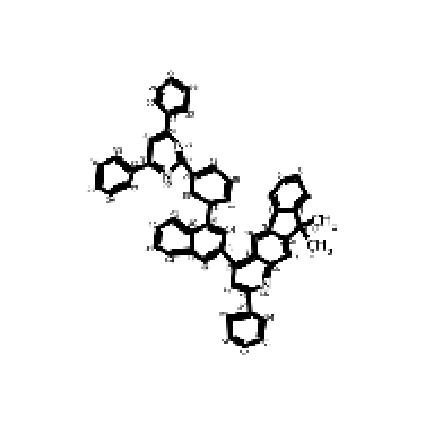 CC1(C)c2ccccc2-c2cc3c(-c4cc(C5C=CC=C(c6nc(-c7ccccc7)cc(-c7ccccc7)n6)C5)c5ccccc5c4)cc(-c4ccccc4)nc3cc21